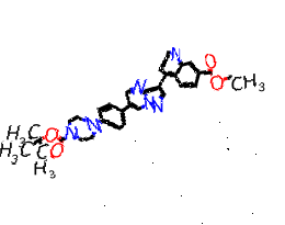 CCOC(=O)c1ccc2c(-c3cnn4cc(-c5ccc(N6CCN(C(=O)OC(C)(C)C)CC6)cc5)cnc34)ccnc2c1